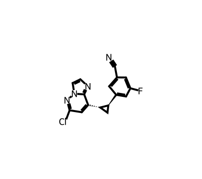 N#Cc1cc(F)cc([C@H]2C[C@@H]2c2cc(Cl)nn3ccnc23)c1